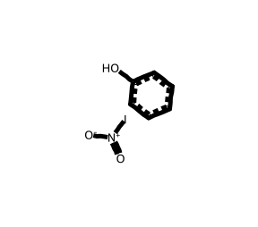 O=[N+]([O-])I.Oc1ccccc1